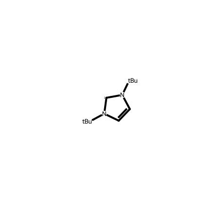 CC(C)(C)N1[C]N(C(C)(C)C)C=C1